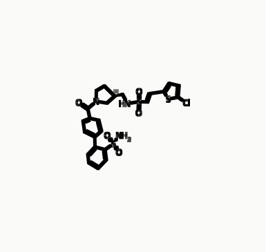 NS(=O)(=O)c1ccccc1-c1ccc(C(=O)N2CC[C@@H](CNS(=O)(=O)C=Cc3ccc(Cl)s3)C2)cc1